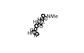 CNCc1ccccc1CN(C(O)C(C)(C)C)[C@@H](C)C(=O)Nc1ccc2c(c1)CC1(C2)C(=O)Nc2ncccc21